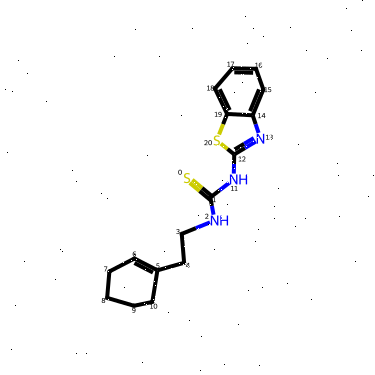 S=C(NCCC1=CCCCC1)Nc1nc2ccccc2s1